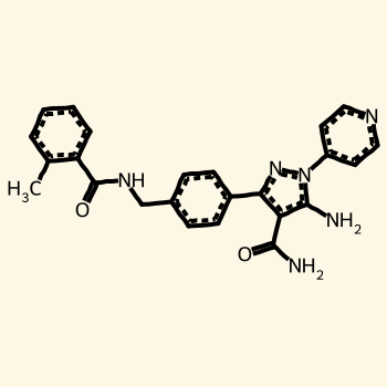 Cc1ccccc1C(=O)NCc1ccc(-c2nn(-c3ccncc3)c(N)c2C(N)=O)cc1